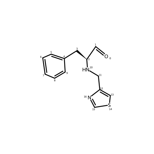 O=C[C@H](Cc1ccccc1)NCc1cscn1